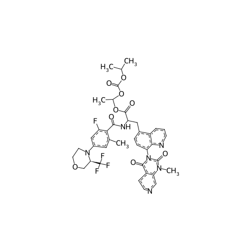 Cc1cc(N2CCOC[C@@H]2C(F)(F)F)cc(F)c1C(=O)NC(Cc1ccc(-n2c(=O)c3ccncc3n(C)c2=O)c2ncccc12)C(=O)OC(C)OC(=O)OC(C)C